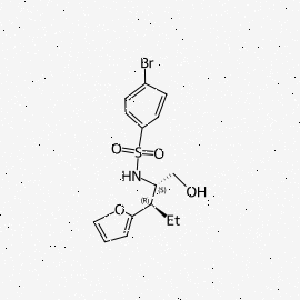 CC[C@@H](c1ccco1)[C@@H](CO)NS(=O)(=O)c1ccc(Br)cc1